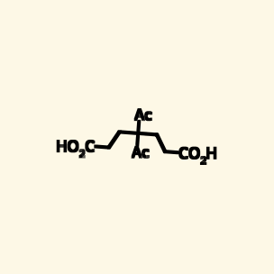 CC(=O)C(CCC(=O)O)(CCC(=O)O)C(C)=O